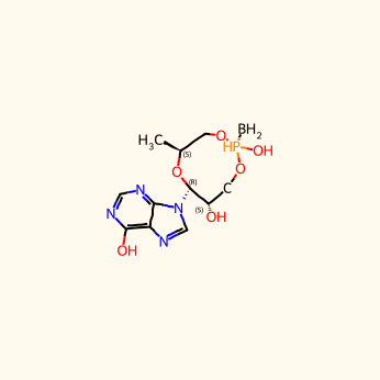 B[PH]1(O)OC[C@H](C)O[C@@H](n2cnc3c(O)ncnc32)[C@@H](O)CO1